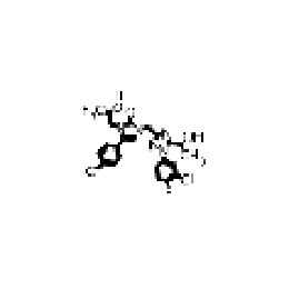 CC(O)c1nc(Cn2cc(-c3ccc(Cl)cc3)n(CC(O)C(F)(F)F)c2=O)nn1-c1ccc(F)c(Cl)c1